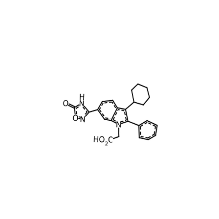 O=C(O)Cn1c(-c2ccccc2)c(C2CCCCC2)c2ccc(-c3noc(=O)[nH]3)cc21